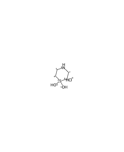 Cl.OS1(O)CCNCC1